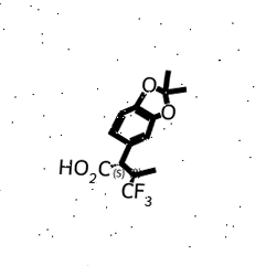 C[C@H]([C@H](C(=O)O)c1ccc2c(c1)OC(C)(C)O2)C(F)(F)F